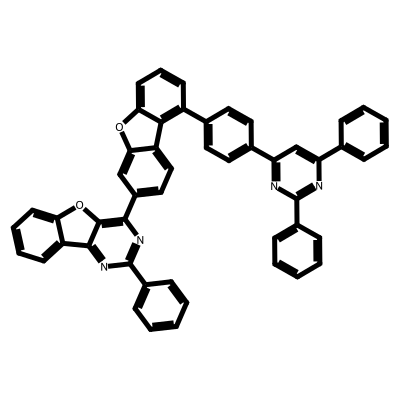 c1ccc(-c2cc(-c3ccc(-c4cccc5oc6cc(-c7nc(-c8ccccc8)nc8c7oc7ccccc78)ccc6c45)cc3)nc(-c3ccccc3)n2)cc1